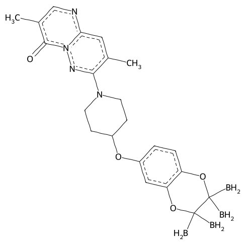 BC1(B)Oc2ccc(OC3CCN(c4nn5c(=O)c(C)cnc5cc4C)CC3)cc2OC1(B)B